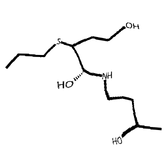 CCCSC(CCO)[C@@H](O)NCCC(C)O